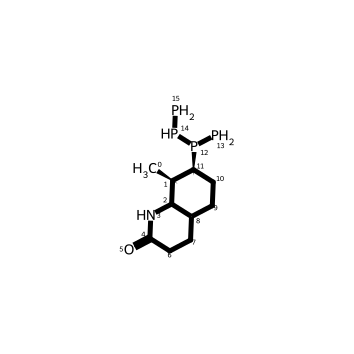 C[C@@H]1C2NC(=O)CCC2CC[C@@H]1P(P)PP